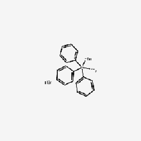 Br.CCCCP(P)(c1ccccc1)(c1ccccc1)c1ccccc1